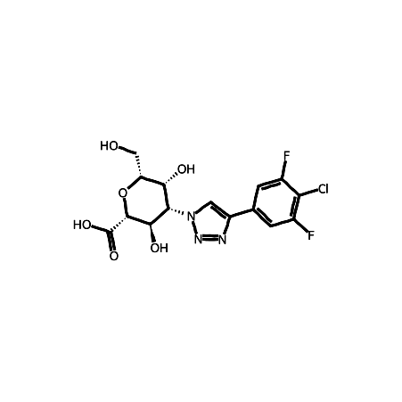 O=C(O)[C@@H]1O[C@H](CO)[C@H](O)[C@H](n2cc(-c3cc(F)c(Cl)c(F)c3)nn2)[C@H]1O